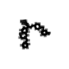 Cl.Cl.O=C(CCC1CCN(Cc2cccc(F)c2)CC1)c1ccc2c(c1)CN(Cc1ccccc1)CCO2